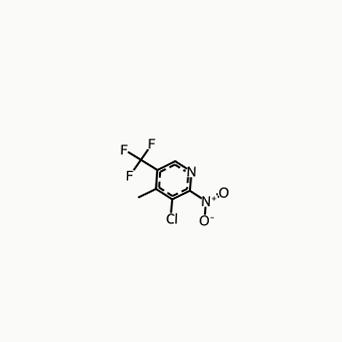 Cc1c(C(F)(F)F)cnc([N+](=O)[O-])c1Cl